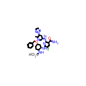 Cc1ncc(Nc2nc(N[C@H]3C[C@@H](OCc4ccccc4)CC[C@@H]3NC(=O)O)c(F)cc2C(N)=O)cc1-n1nccn1